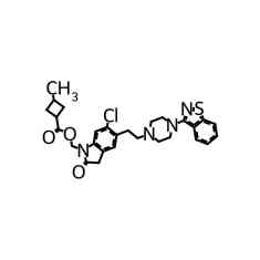 CC1CC(C(=O)OCN2C(=O)Cc3cc(CCN4CCN(c5nsc6ccccc56)CC4)c(Cl)cc32)C1